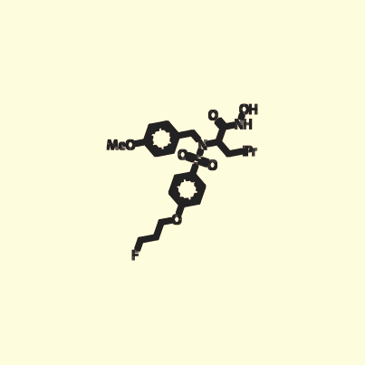 COc1ccc(CN(C(CC(C)C)C(=O)NO)S(=O)(=O)c2ccc(OCCCF)cc2)cc1